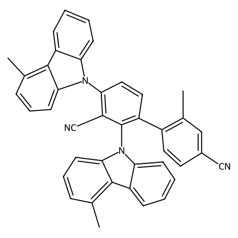 Cc1cc(C#N)ccc1-c1ccc(-n2c3ccccc3c3c(C)cccc32)c(C#N)c1-n1c2ccccc2c2c(C)cccc21